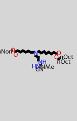 CCCCCCCCCOC(=O)CCCCCCCN(CCCCCCCC(=O)OC(CCCCCCCC)CCCCCCCC)CCCNC(NC)NC#N